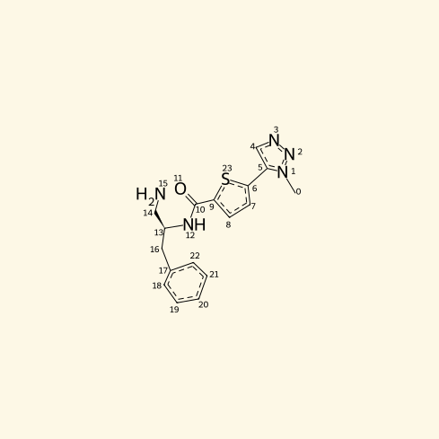 Cn1nncc1-c1ccc(C(=O)N[C@H](CN)Cc2ccccc2)s1